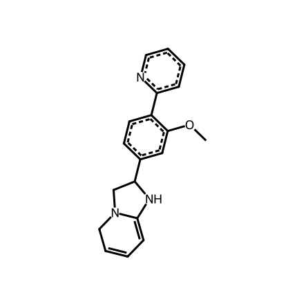 COc1cc(C2CN3CC=CC=C3N2)ccc1-c1ccccn1